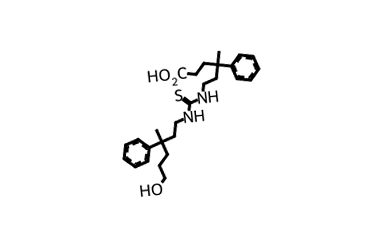 CC(CCCO)(CCNC(=S)NCCC(C)(CCC(=O)O)c1ccccc1)c1ccccc1